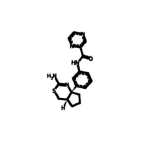 NC1=N[C@@]2(c3cccc(NC(=O)c4cnccn4)c3)CCC[C@H]2CS1